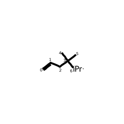 C=CCC(C)(C)[C](C)C